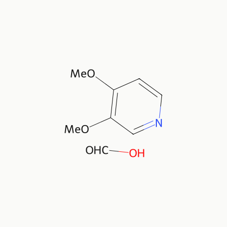 COc1ccncc1OC.O=CO